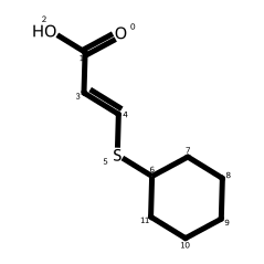 O=C(O)C=CSC1CCCCC1